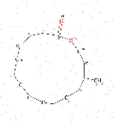 CC1CCCCCCCCCCCC(=O)OCC1